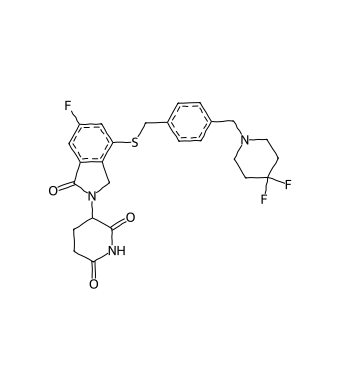 O=C1CCC(N2Cc3c(SCc4ccc(CN5CCC(F)(F)CC5)cc4)cc(F)cc3C2=O)C(=O)N1